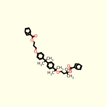 CC(C)(CCOC(C)(C)c1ccc(C(C)(C)c2ccc(OCCCOC(=O)C3CC4C=CC3C4)cc2)cc1)OC(=O)C1CC2C=CC1C2